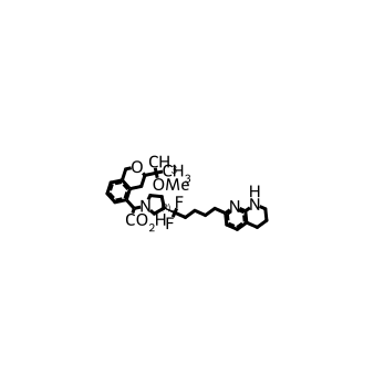 COC(C)(C)C1Cc2c(cccc2C(C(=O)O)N2CC[C@@H](C(F)(F)CCCCc3ccc4c(n3)NCCC4)C2)CO1